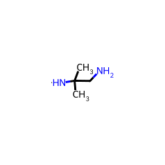 CC(C)([NH])CN